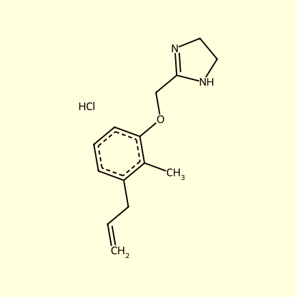 C=CCc1cccc(OCC2=NCCN2)c1C.Cl